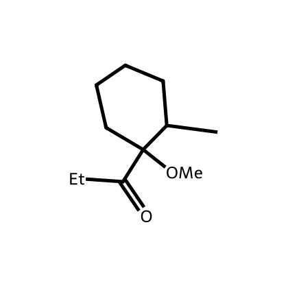 CCC(=O)C1(OC)CCCCC1C